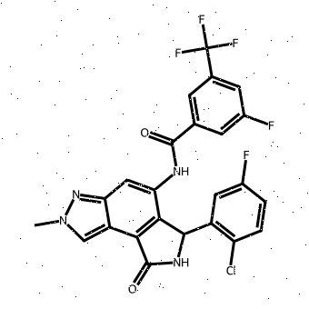 Cn1cc2c3c(c(NC(=O)c4cc(F)cc(C(F)(F)F)c4)cc2n1)C(c1cc(F)ccc1Cl)NC3=O